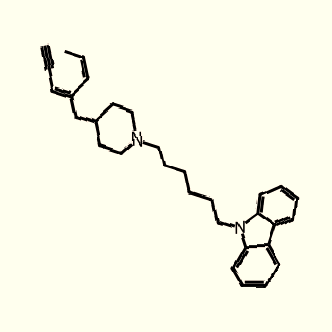 C#C/C=C(\C=C/C)CC1CCN(CCCCCCn2c3ccccc3c3ccccc32)CC1